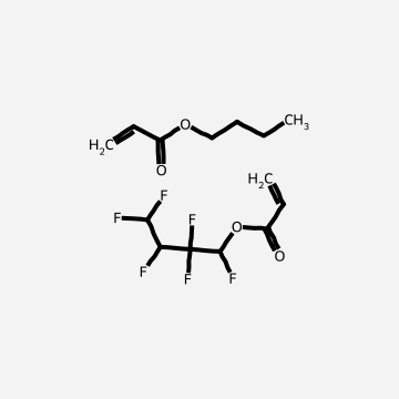 C=CC(=O)OC(F)C(F)(F)C(F)C(F)F.C=CC(=O)OCCCC